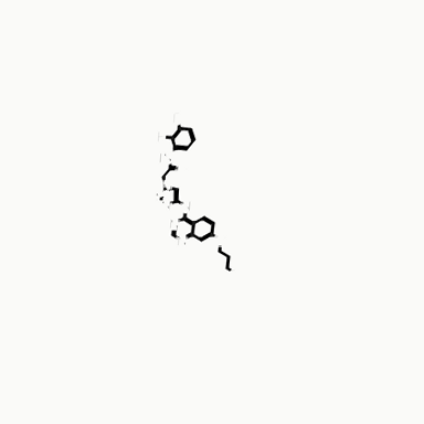 O=C(Cn1cc(Nc2ncnc3cc(OCCCCl)ccc23)nn1)Nc1cccc(F)c1F